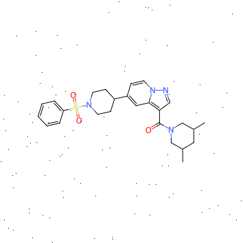 CC1CC(C)CN(C(=O)c2cnn3ccc(C4CCN(S(=O)(=O)c5ccccc5)CC4)cc23)C1